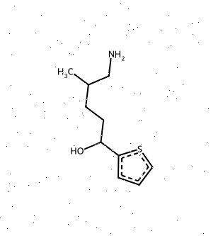 CC(CN)CCC(O)c1cccs1